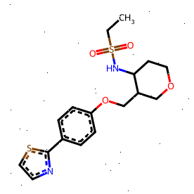 CCS(=O)(=O)NC1CCOCC1COc1ccc(-c2nccs2)cc1